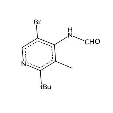 Cc1c(C(C)(C)C)ncc(Br)c1NC=O